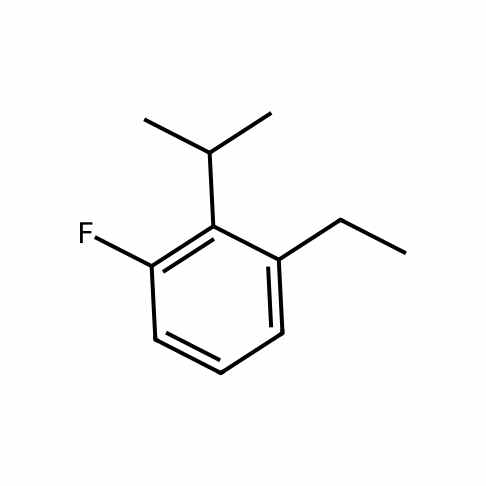 CCc1cccc(F)c1C(C)C